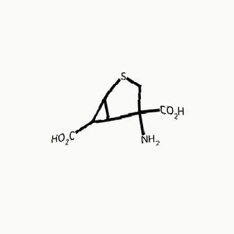 NC1(C(=O)O)CSC2C(C(=O)O)C21